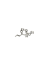 CC=CC(=O)C[SiH](OCC)OCC